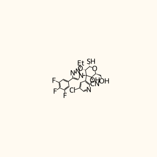 CCO[C@@H]1[C@H](S)O[C@@H](CO)[C@@H](O)[C@@]1(c1cc(Cl)cnc1C#N)n1cc(-c2cc(F)c(F)c(F)c2)nn1